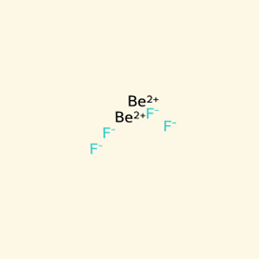 [Be+2].[Be+2].[F-].[F-].[F-].[F-]